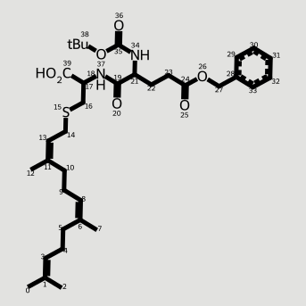 CC(C)=CCCC(C)=CCCC(C)=CCSCC(NC(=O)C(CCC(=O)OCc1ccccc1)NC(=O)OC(C)(C)C)C(=O)O